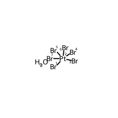 O.[Br][Pt]([Br])([Br])([Br])([Br])[Br]